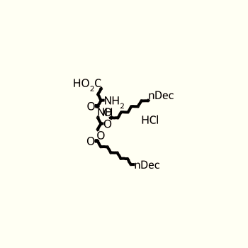 CCCCCCCCCCCCCCCCCC(=O)OCC(CNC(=O)C(N)CCC(=O)O)OC(=O)CCCCCCCCCCCCCCCCC.Cl